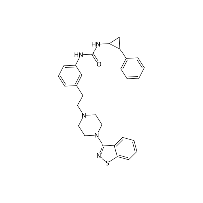 O=C(Nc1cccc(CCN2CCN(c3nsc4ccccc34)CC2)c1)NC1CC1c1ccccc1